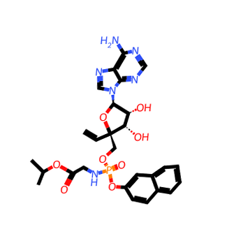 C=C[C@]1(COP(=O)(NCC(=O)OC(C)C)Oc2ccc3ccccc3c2)O[C@@H](n2cnc3c(N)ncnc32)[C@H](O)[C@@H]1O